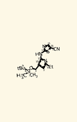 CCc1cc(CO[Si](C)(C)C(C)(C)C)cc(Nc2ncc(C#N)s2)n1